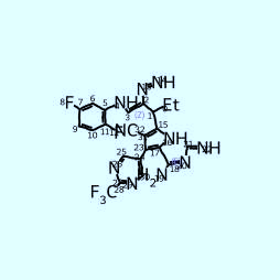 CCC(/C(=C/Nc1cc(F)ccc1F)N=N)c1[nH]c(/C(N)=N\C=N)c(-c2cnc(C(F)(F)F)nc2)c1C#N